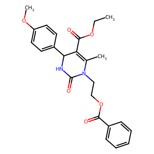 CCOC(=O)C1=C(C)N(CCOC(=O)c2ccccc2)C(=O)NC1c1ccc(OC)cc1